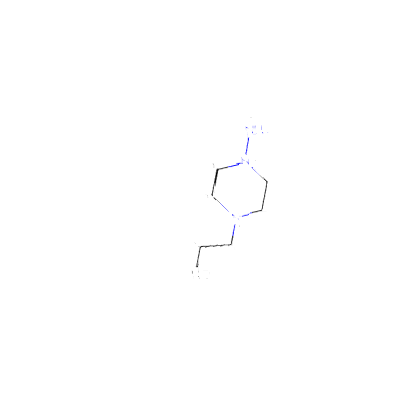 NN1CCN(CCN=O)CC1